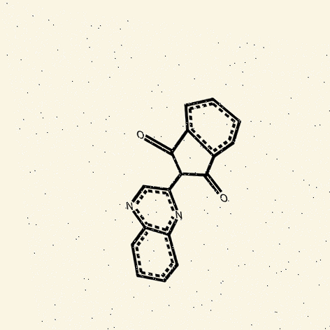 O=C1c2ccccc2C(=O)C1c1cnc2ccccc2n1